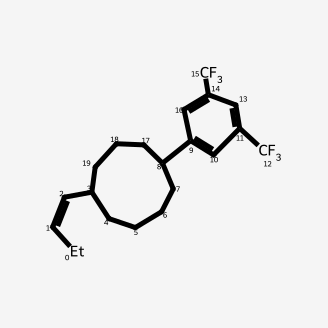 CC/C=C\C1CCCCC(c2cc(C(F)(F)F)cc(C(F)(F)F)c2)CCC1